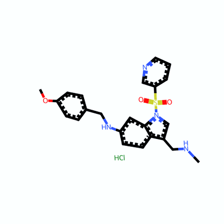 CNCc1cn(S(=O)(=O)c2cccnc2)c2cc(NCc3ccc(OC)cc3)ccc12.Cl